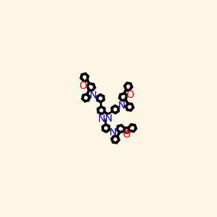 c1cc(-c2ccc3nc(-c4cccc(-n5c6ccccc6c6c7oc8ccccc8c7ccc65)c4)nc(-c4ccc(-n5c6ccccc6c6c7oc8ccccc8c7ccc65)cc4)c3c2)cc(-n2c3ccccc3c3c4oc5ccccc5c4ccc32)c1